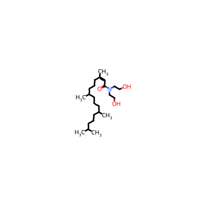 CC(=CC(=O)N(CCO)CCO)CCCC(C)CCCC(C)CCCC(C)C